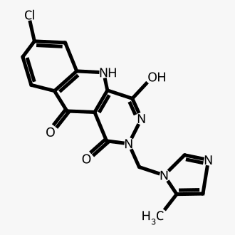 Cc1cncn1Cn1nc(O)c2[nH]c3cc(Cl)ccc3c(=O)c2c1=O